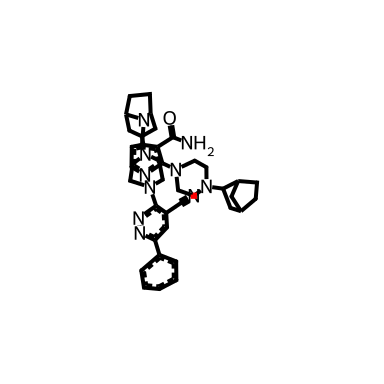 N#Cc1cc(-c2ccccc2)nnc1N1CCN(C2CC3CCC(C2)N3c2ccnc(N3CCN(C4CC5CCC4C5)CC3)c2C(N)=O)CC1